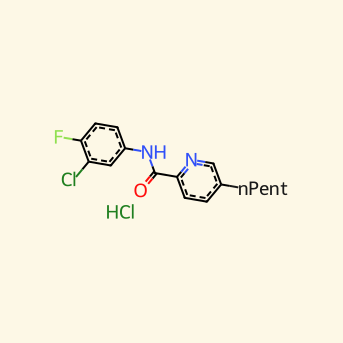 CCCCCc1ccc(C(=O)Nc2ccc(F)c(Cl)c2)nc1.Cl